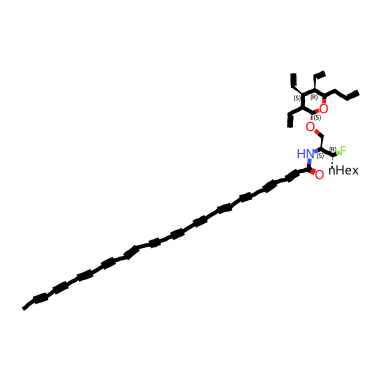 C=CCC1O[C@H](OC[C@H](NC(=O)C#CC#CC#CC#CC#CC#CC#CC#CC#CC#CC#CC#CC)[C@H](F)CCCCCC)C(C=C)[C@@H](C=C)[C@H]1C=C